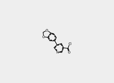 O=C(Cl)c1cncc(-c2ccc3c(c2)OCO3)c1